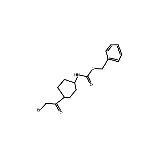 O=C(NC1CCC(C(=O)CBr)CC1)OCc1ccccc1